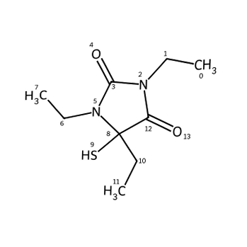 CCN1C(=O)N(CC)C(S)(CC)C1=O